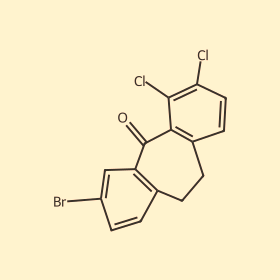 O=C1c2cc(Br)ccc2CCc2ccc(Cl)c(Cl)c21